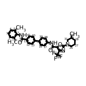 Cc1cccc(C)c1NC(=O)c1ccc(-c2ccc(NC(=O)c3oc(N4CCCC(C)C4)nc3C(F)(F)F)cc2)cc1